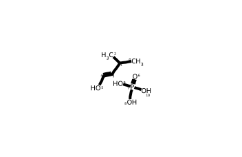 CC(C)C=CO.O=P(O)(O)O